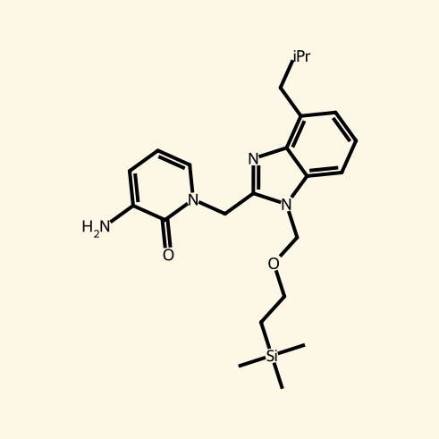 CC(C)Cc1cccc2c1nc(Cn1cccc(N)c1=O)n2COCC[Si](C)(C)C